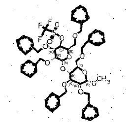 CO[C@H]1O[C@H](COCc2ccccc2)[C@@H](O[C@H]2O[C@H](COCc3ccccc3)[C@H](OS(=O)(=O)C(F)(F)F)[C@H](OCc3ccccc3)[C@H]2OCc2ccccc2)[C@H](OCc2ccccc2)[C@H]1OCc1ccccc1